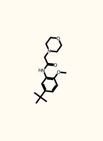 COc1ccc(C(C)(C)C)cc1NC(=O)CN1CCOCC1